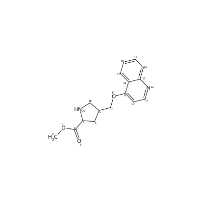 COC(=O)C1CC(COc2ccnc3ccccc23)CN1